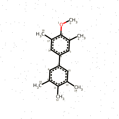 COc1c(C)cc(-c2cc(C)c(C)c(C)c2)cc1C